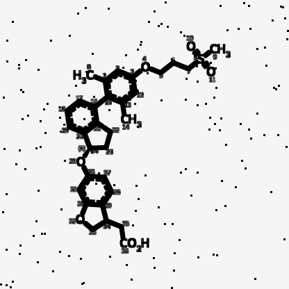 Cc1cc(OCCCS(C)(=O)=O)cc(C)c1-c1cccc2c1CC[C@H]2Oc1ccc2c(c1)OCC2CC(=O)O